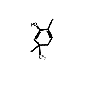 CC1=CCC(C)(C(F)(F)F)C=C1O